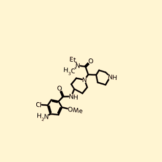 CCN(C)C(=O)C(C1CCNCC1)N1CCC(NC(=O)c2cc(Cl)c(N)cc2OC)CC1